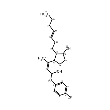 CC(=CC(O)Oc1ccc(F)cc1)C1CCC(O)C1CCC=CCCC(=O)O